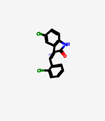 O=C1Nc2ccc(Cl)cc2/C1=C/c1ccccc1Cl